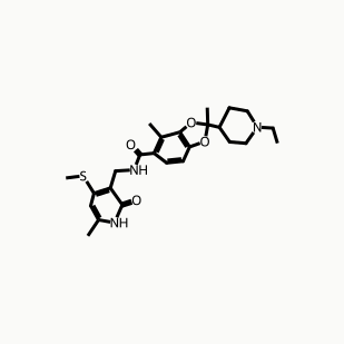 CCN1CCC(C2(C)Oc3ccc(C(=O)NCc4c(SC)cc(C)[nH]c4=O)c(C)c3O2)CC1